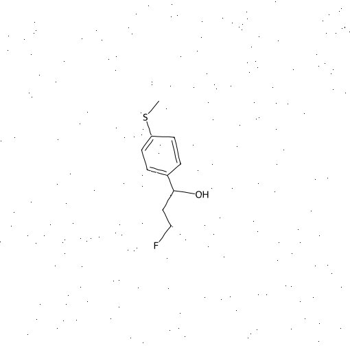 CSc1ccc(C(O)CCF)cc1